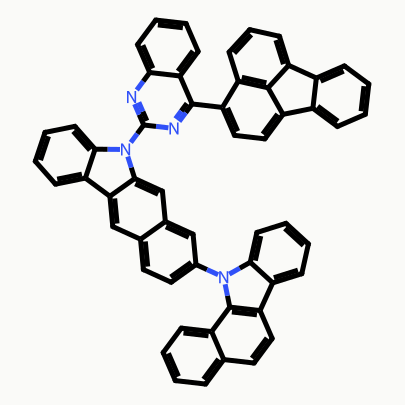 c1ccc2c(c1)-c1cccc3c(-c4nc(-n5c6ccccc6c6cc7ccc(-n8c9ccccc9c9ccc%10ccccc%10c98)cc7cc65)nc5ccccc45)ccc-2c13